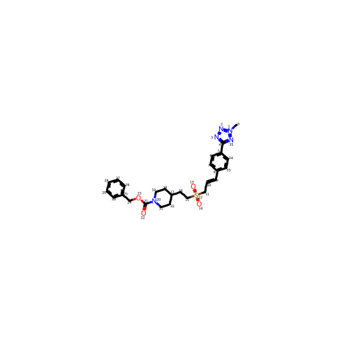 Cn1nnc(-c2ccc(C=CCS(=O)(=O)CCC3CCN(C(=O)OCc4ccccc4)CC3)cc2)n1